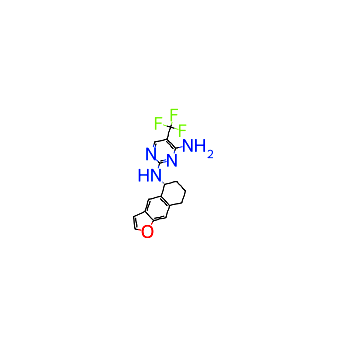 Nc1nc(N[C@@H]2CCCc3cc4occc4cc32)ncc1C(F)(F)F